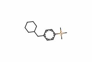 CS(C)(C)c1ccc(CC2CCCCC2)cc1